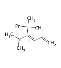 C=C/C=C(/N(C)C)C(C)(C)C(C)C